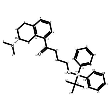 CN(C)[C@@H]1CCc2cccc(C(=O)CCCO[Si](c3ccccc3)(c3ccccc3)C(C)(C)C)c2C1